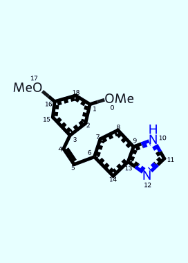 COc1cc(/C=C\c2ccc3[nH]cnc3c2)cc(OC)c1